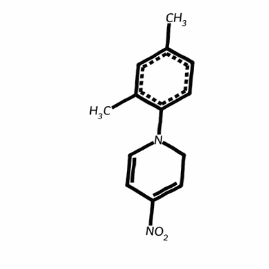 Cc1ccc(N2C=CC([N+](=O)[O-])=CC2)c(C)c1